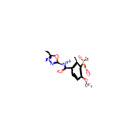 CCS(=O)(=O)c1c(OC(F)(F)F)ccc(C(=O)Nc2nnc(C)o2)c1C